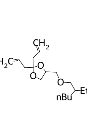 C=CCC1(CC=C)OCC(COCC(CC)CCCC)O1